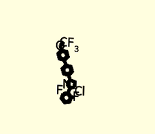 Fc1cccc(F)c1C1=NC(c2ccc(-c3ccc(OC(F)(F)F)cc3)cc2)CC1Cl